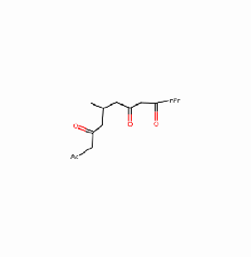 CCCC(=O)CC(=O)CC(C)CC(=O)CC(C)=O